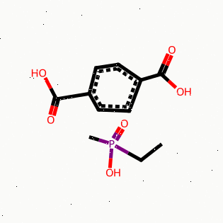 CCP(C)(=O)O.O=C(O)c1ccc(C(=O)O)cc1